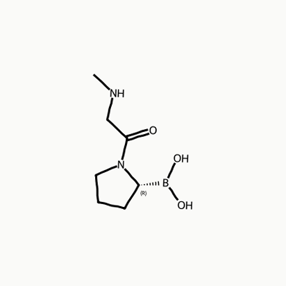 CNCC(=O)N1CCC[C@H]1B(O)O